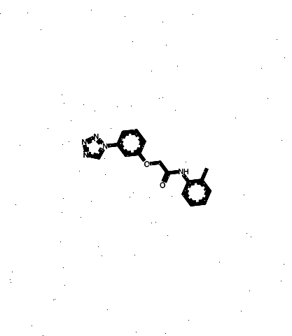 Cc1ccccc1NC(=O)COc1cccc(-n2cnnn2)c1